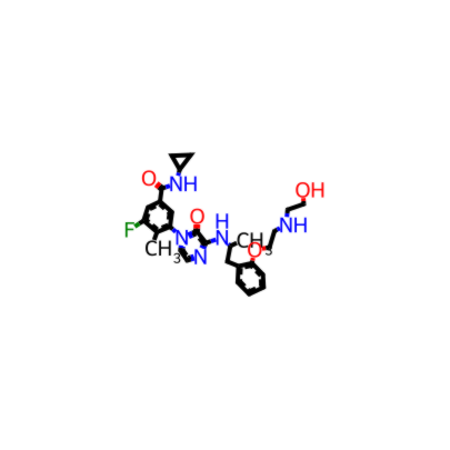 Cc1c(F)cc(C(=O)NC2CC2)cc1-n1ccnc(NC(C)Cc2ccccc2OCCNCCO)c1=O